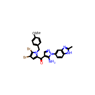 COc1ccc(Cn2c(C(=O)c3cnn(-c4ccc5[nH]c(C)nc5c4)c3N)cc(Br)c2Br)cc1